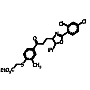 CCOC(=O)CSc1ccc(C(=O)CCC2N=C(c3ccc(Cl)cc3Cl)OC2C(C)C)cc1C